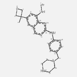 CCCNc1nc(C2(C)COC2)cc2cnc(Nc3ccc(CN4CCNCC4)cn3)nc12